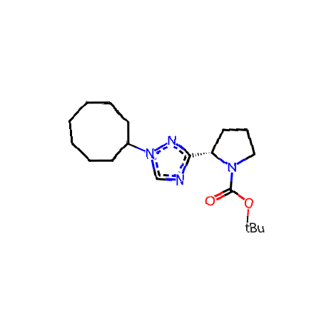 CC(C)(C)OC(=O)N1CCC[C@H]1c1ncn(C2CCCCCCC2)n1